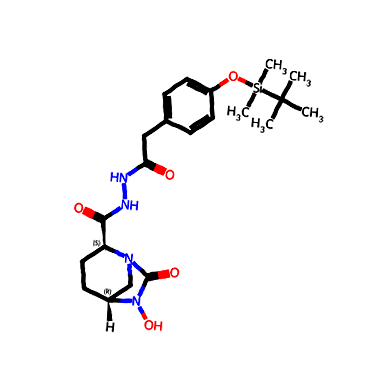 CC(C)(C)[Si](C)(C)Oc1ccc(CC(=O)NNC(=O)[C@@H]2CC[C@@H]3CN2C(=O)N3O)cc1